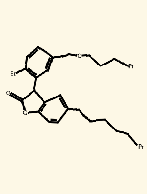 CCc1ccc(CCCCCC(C)C)cc1C1C(=O)Oc2ccc(CCCCCC(C)C)cc21